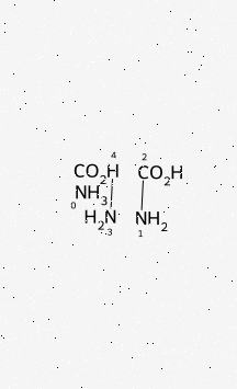 N.NC(=O)O.NC(=O)O